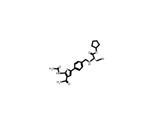 CC(C)C[C@H](NCc1ccc(-c2cc(C(N)=O)c(NC(N)=O)s2)cc1)C(=O)OC1CCCC1